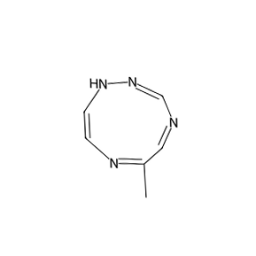 Cc1cncn[nH]ccn1